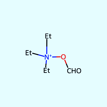 CC[N+](CC)(CC)OC=O